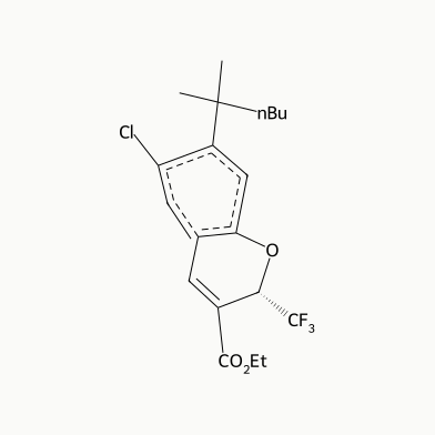 CCCCC(C)(C)c1cc2c(cc1Cl)C=C(C(=O)OCC)[C@@H](C(F)(F)F)O2